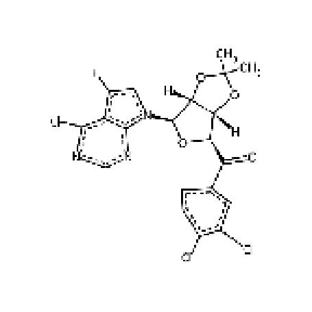 CC1(C)O[C@@H]2[C@H](O1)[C@@H](C(=O)c1ccc(Cl)c(Cl)c1)O[C@H]2n1cc(F)c2c(Cl)ncnc21